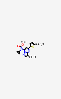 CC(C)(C)OC(=O)N(c1cc(-c2ccc(C(=O)O)s2)nc2c(C=O)cnn12)C1CC1